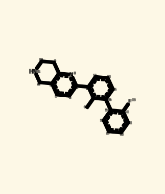 Cc1c(-c2ccc3c(n2)CCNC3)cccc1-c1ccccc1F